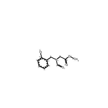 COC(=O)CN(C=O)Cc1ccccc1Cl